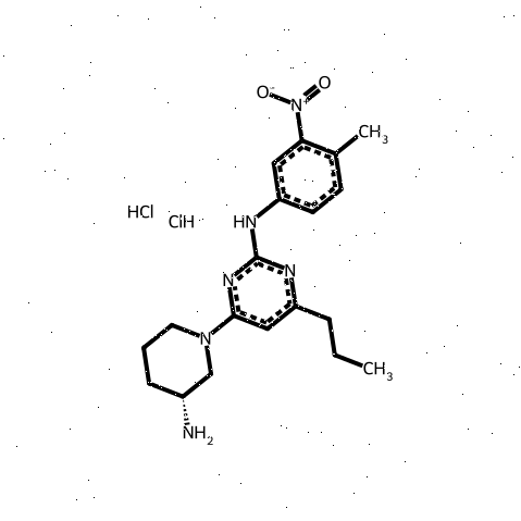 CCCc1cc(N2CCC[C@@H](N)C2)nc(Nc2ccc(C)c([N+](=O)[O-])c2)n1.Cl.Cl